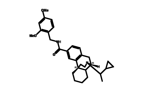 COc1ccc(CNC(=O)c2ccc3c(c2)[C@@]24CCCCC2[C@@H](C3)N(C(C)C2CC2)CC4)c(OC)c1